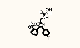 NS(=O)(=O)c1ccccc1-c1oc(CNC(=O)NO)nc1-c1ccc(F)cc1